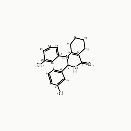 O=C1NC(c2cccc(Cl)c2)N(c2cccc(Cl)c2)C2=C1CCCC2